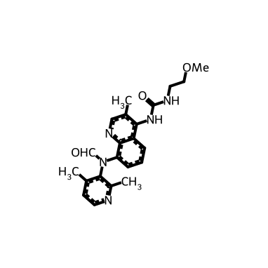 COCCNC(=O)Nc1c(C)cnc2c(N(C=O)c3c(C)ccnc3C)cccc12